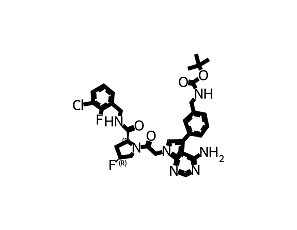 CC(C)(C)OC(=O)NCc1cccc(-c2cn(CC(=O)N3C[C@H](F)C[C@H]3C(=O)NCc3cccc(Cl)c3F)c3ncnc(N)c23)c1